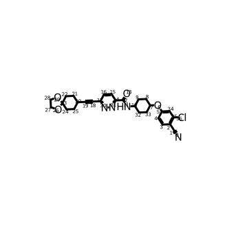 N#Cc1ccc(OC2CCC(NC(=O)c3ccc(C#CC4CCC5(CC4)OCCO5)nn3)CC2)cc1Cl